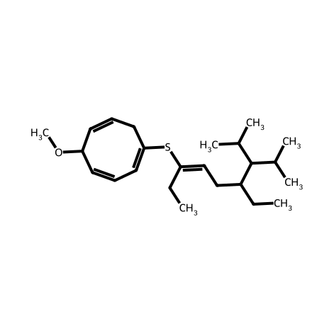 CC/C(=C\CC(CC)C(C(C)C)C(C)C)S/C1=C/C=C\C(OC)/C=C\C1